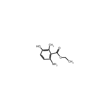 CCOC(=O)c1c(N)ccc(O)c1C